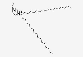 CCCCCCCCCCCCCCCCC(CCCCCCCCCCCCCCCC)[N+]1=CN(CC)CC1